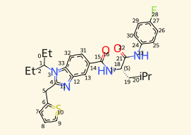 CCC(CC)n1c(Cc2cccs2)nc2cc(C(=O)N[C@@H](CC(C)C)C(=O)Nc3ccc(F)cc3)ccc21